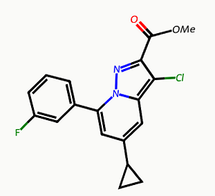 COC(=O)c1nn2c(-c3cccc(F)c3)cc(C3CC3)cc2c1Cl